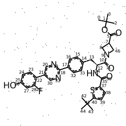 CC(C)(C)OC(=O)C1CN(C(=O)[C@H](Cc2ccc(-c3ncc(-c4ccc(O)cc4F)cn3)cc2)NC(=O)c2ccc(C(C)(C)C)s2)C1